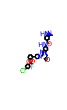 Cc1n[nH]c2ccc(C(=O)Nc3ccc4c(c3)nc(CN3CCC(c5cccc6c5OC(C)(c5ccc(Cl)cc5F)O6)CC3)n4CC3CCO3)cc12